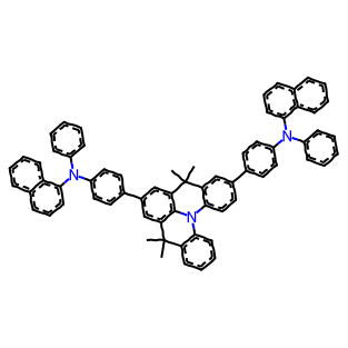 CC1(C)c2ccccc2N2c3ccc(-c4ccc(N(c5ccccc5)c5cccc6ccccc56)cc4)cc3C(C)(C)c3cc(-c4ccc(N(c5ccccc5)c5cccc6ccccc56)cc4)cc1c32